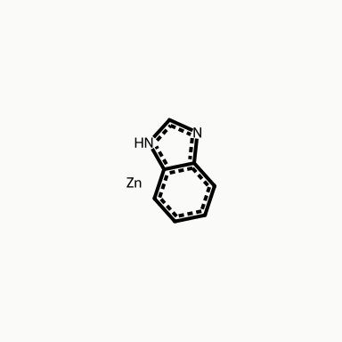 [Zn].c1ccc2[nH]cnc2c1